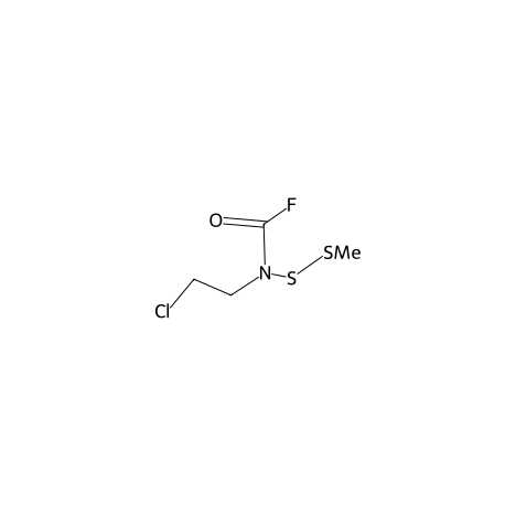 CSSN(CCCl)C(=O)F